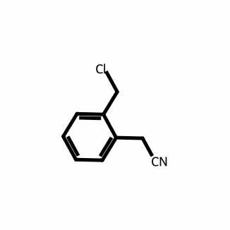 N#CCc1ccccc1CCl